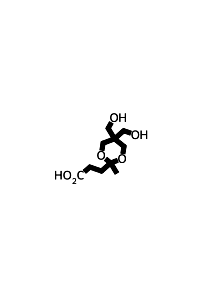 CC1(CCC(=O)O)OCC(CO)(CO)CO1